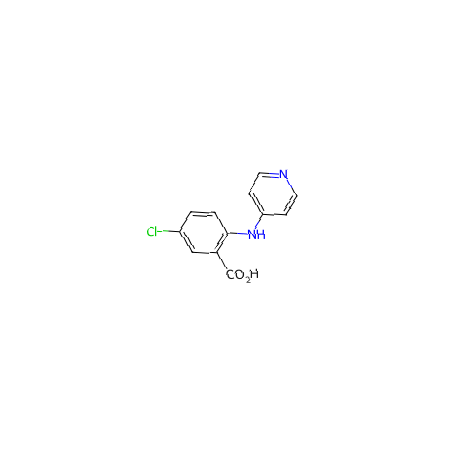 O=C(O)c1cc(Cl)ccc1Nc1ccncc1